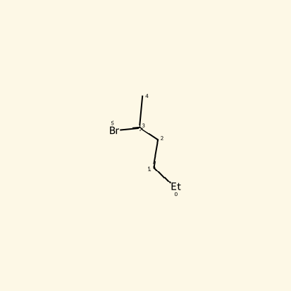 CCCC[C](C)Br